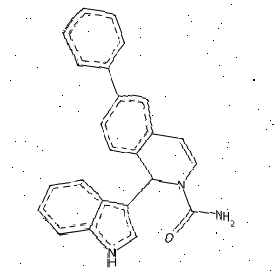 NC(=O)N1C=Cc2cc(-c3ccccc3)ccc2C1c1c[nH]c2ccccc12